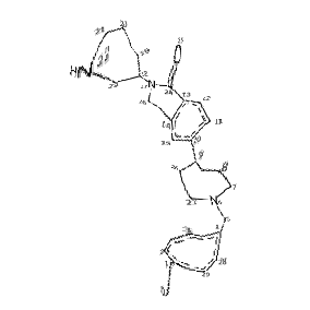 Cc1ccc(CN2CCC(c3ccc4c(c3)CN(C3CCCNC3)C4=O)CC2)cc1